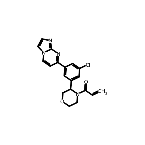 C=CC(=O)N1CCOCC1c1cc(Cl)cc(-c2ccn3ccnc3n2)c1